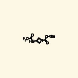 CC(C)(C)OC(=O)N1CC(NC(=O)C(F)(F)F)C1